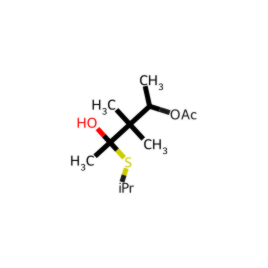 CC(=O)OC(C)C(C)(C)C(C)(O)SC(C)C